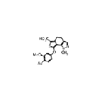 COc1cc(Oc2sc(C(=O)O)c3c2-c2c(cnn2C)CC3)ccc1C(C)=O